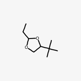 CCC1OCC(C(C)(C)C)O1